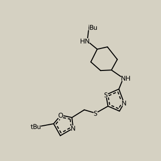 CCC(C)NC1CCC(Nc2ncc(SCc3ncc(C(C)(C)C)o3)s2)CC1